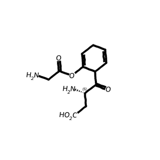 NCC(=O)OC1=CCC=CC1C(=O)[C@@H](N)CC(=O)O